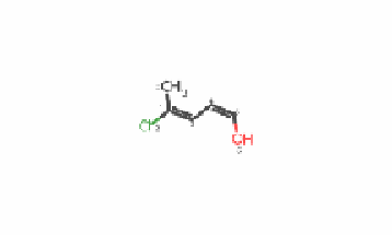 C/C(Cl)=C\C=C/O